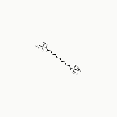 CC(C)(C)SCCCCCCCCCCSC(C)(C)C